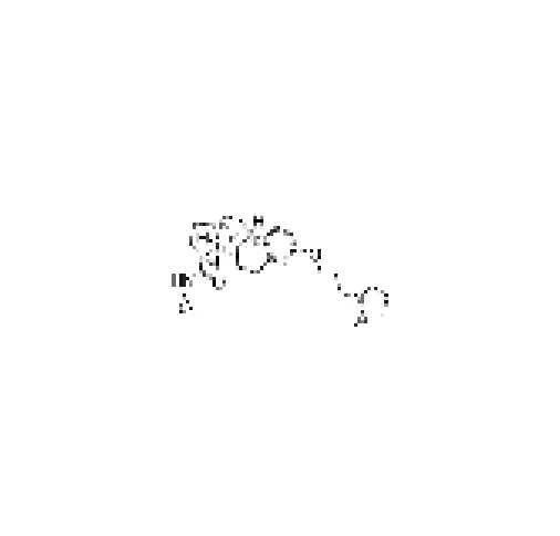 C[C@@H]1CCCN1CCCOc1ccc2c(c1)CC[C@H]1[C@@H]3[C@@H](C(=O)NC4CC4)CC[C@@]3(C)CC[C@H]21